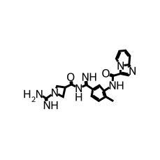 Cc1ccc(C(=N)NC(=O)C2CN(C(=N)N)C2)cc1NC(=O)c1cnc2ccccn12